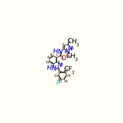 Cc1cc(NC(=O)c2cccc3[nH]c(-c4cc(F)ccc4C(F)(F)F)nc23)n(C)n1